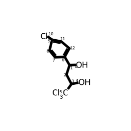 OC(CC(O)C(Cl)(Cl)Cl)c1ccc(Cl)cc1